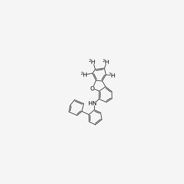 [2H]c1c([2H])c([2H])c2c(oc3c(Nc4ccccc4-c4ccccc4)cccc32)c1[2H]